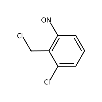 O=Nc1cccc(Cl)c1CCl